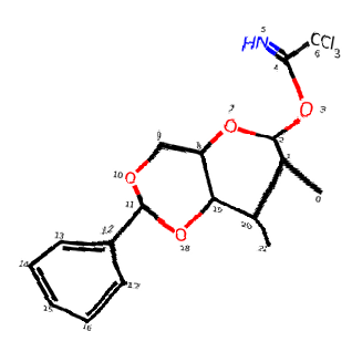 CC1C(OC(=N)C(Cl)(Cl)Cl)OC2COC(c3ccccc3)OC2C1C